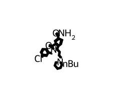 CCCCC1CCCCN1CCCC1c2ccc(C(N)=O)cc2C(=O)N1Cc1cccc(Cl)c1